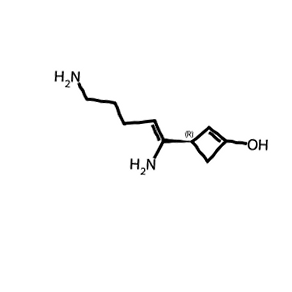 NCCCC=C(N)[C@H]1C=C(O)C1